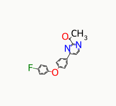 CC(=O)c1nccc(-c2ccc(Oc3ccc(F)cc3)cc2)n1